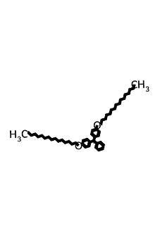 CCCCCCCCCCCCCCCCOc1ccc([C](c2ccccc2)c2ccc(OCCCCCCCCCCCCCCCC)cc2)cc1